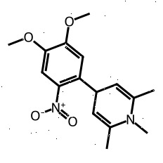 COc1cc(C2C=C(C)N(C)C(C)=C2)c([N+](=O)[O-])cc1OC